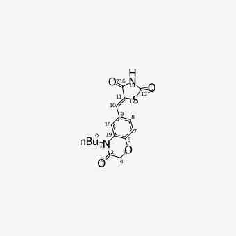 CCCCN1C(=O)COc2ccc(/C=C3\SC(=O)NC3=O)cc21